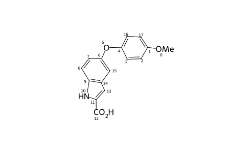 COc1ccc(Oc2ccc3[nH]c(C(=O)O)cc3c2)cc1